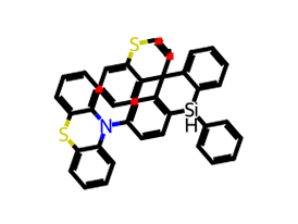 c1ccc([SiH]2c3ccccc3C3(c4ccccc4Sc4ccccc43)c3cc(N4c5ccccc5Sc5ccccc54)ccc32)cc1